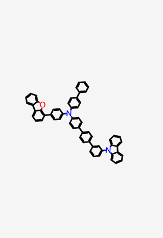 c1ccc(-c2ccc(N(c3ccc(-c4ccc(-c5cccc(-n6c7ccccc7c7ccccc76)c5)cc4)cc3)c3ccc(-c4cccc5c4oc4ccccc45)cc3)cc2)cc1